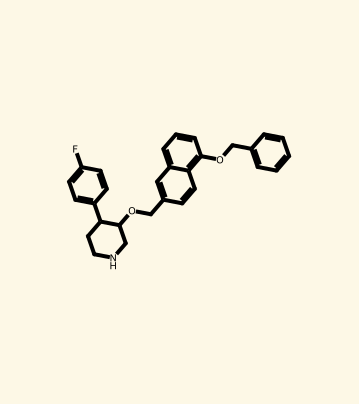 Fc1ccc(C2CCNCC2OCc2ccc3c(OCc4ccccc4)cccc3c2)cc1